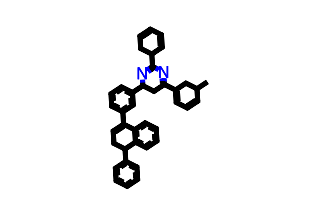 CC1C=CC=C(C2=NC(C3C=CC=CC3)=NC(c3cccc(C4=CCC(c5ccccc5)c5ccccc54)c3)C2)C1